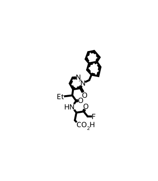 CCC(C(=O)NC(CC(=O)O)C(=O)CF)c1ccnn(Cc2ccc3ccccc3c2)c1=O